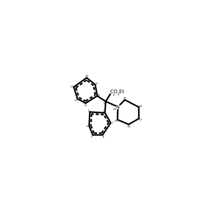 CCOC(=O)C(c1ccccc1)(c1ccccc1)N1CCCCC1